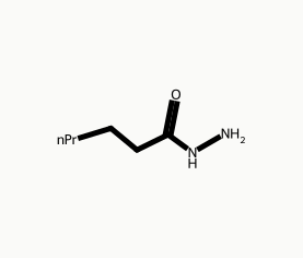 CCCCCC(=O)NN